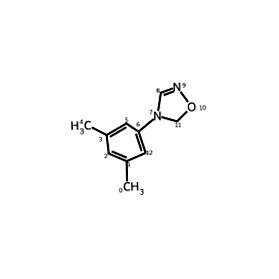 Cc1cc(C)cc(N2C=NOC2)c1